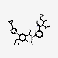 C=NN(/C(=N\C)c1cccc(NC(=O)c2cc(-n3cnc(C4CC4)c3)c(CO)cc2P)n1)C(C)CO